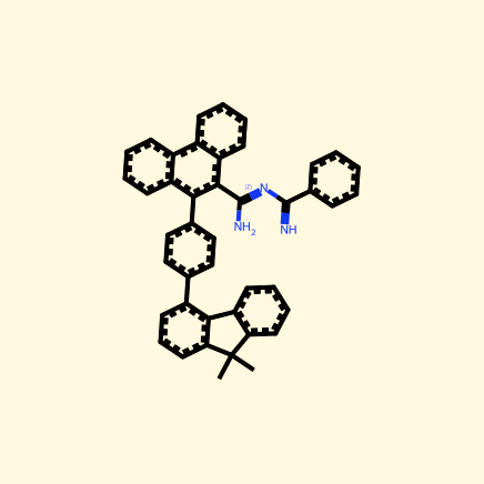 CC1(C)c2ccccc2-c2c(-c3ccc(-c4c(/C(N)=N/C(=N)c5ccccc5)c5ccccc5c5ccccc45)cc3)cccc21